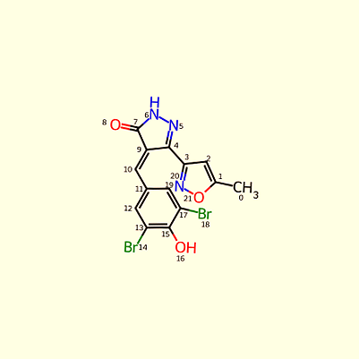 Cc1cc(C2=NNC(=O)/C2=C/c2cc(Br)c(O)c(Br)c2)no1